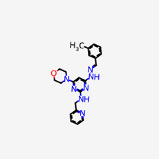 Cc1cccc(C=NNc2cc(N3CCOCC3)nc(NCc3ccccn3)n2)c1